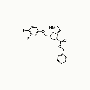 O=C(OCc1ccccc1)N1CC(COc2ccc(F)c(F)c2)C2NCC=C21